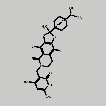 Cc1cc(C)c(CN2CCc3c(Cl)c4c(c(Cl)c3C2=O)OC(C)(C23CCC(N(C)C)(CC2)CC3)O4)c(=O)[nH]1